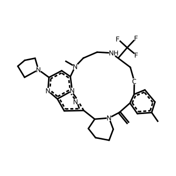 C=C1c2cc(C)ccc2CCC(C(F)(F)F)NCCN(C)c2cc(N3CCCC3)nc3cc(nn23)C2CCCCN12